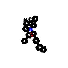 CC1(c2ccccc2)c2ccccc2-c2c(N(c3ccc(-c4ccc(-c5ccc6ccccc6c5)cc4)cc3)c3ccccc3-c3cccc(-c4ccccc4)c3)cccc21